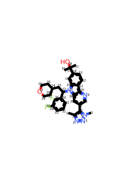 Cc1nnn(C)c1-c1cnc2c3ccc(C(C)(C)O)cc3n(C(CC3CCOCC3)c3cccc(F)c3F)c2c1